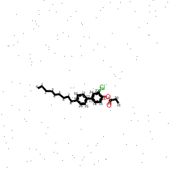 CCCCCCCCCc1ccc(-c2ccc(OC(=O)CC)c(Cl)c2)cc1